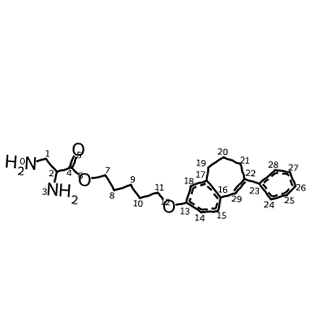 NCC(N)C(=O)OCCCCCOc1ccc2c(c1)CCCC(c1ccccc1)=C2